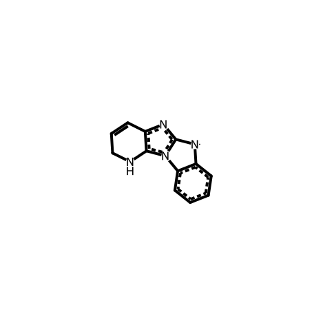 C1=Cc2nc3n(c2NC1)-c1ccccc1[N]3